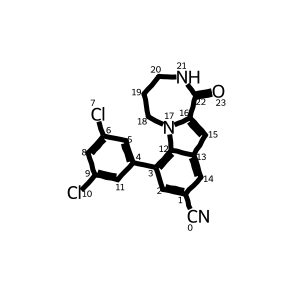 N#Cc1cc(-c2cc(Cl)cc(Cl)c2)c2c(c1)cc1n2CCCNC1=O